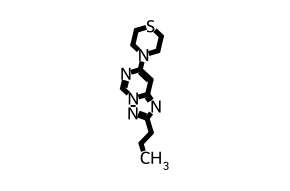 CCCc1nc2cc(N3CCSCC3)ncn2n1